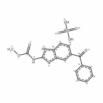 COC(=O)Nc1nc2cc(C(=O)c3ccccc3)ccc2[nH]1.O=S(=O)(O)O